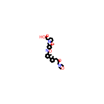 COc1cc2oc(-c3cccc(-c4cccc(CC5OC5CN5CCOCC5)c4C)c3C)nc2cc1CN1CCCCC1CC(=O)O